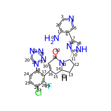 Nc1ccncc1-c1c[nH]c([C@@H]2CC[C@H]3CC(c4c(-n5cnnn5)ccc(Cl)c4F)=CC(=O)N32)n1